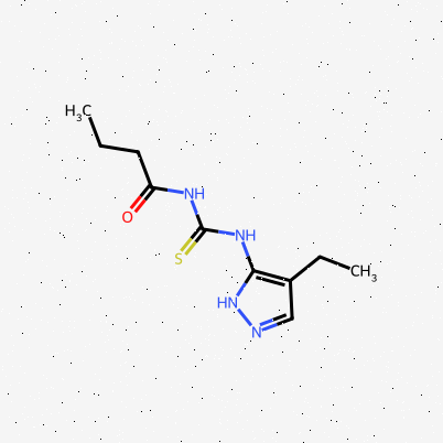 CCCC(=O)NC(=S)Nc1[nH]ncc1CC